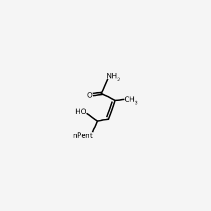 CCCCCC(O)C=C(C)C(N)=O